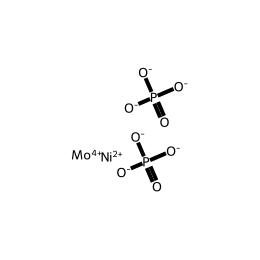 O=P([O-])([O-])[O-].O=P([O-])([O-])[O-].[Mo+4].[Ni+2]